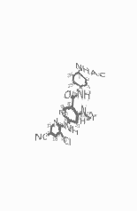 CC(=O)N[C@H]1CC[C@H](NC(=O)c2cnc(Nc3ncc(C#N)cc3Cl)cc2NC(C)C)CC1